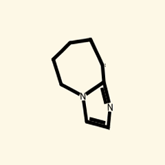 [C]1CCCCn2ccnc21